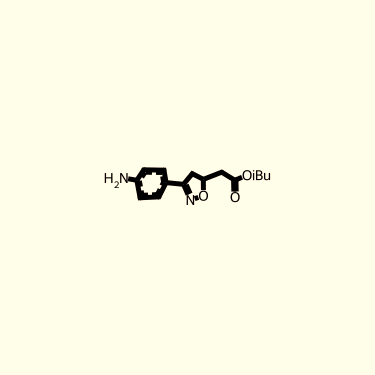 CC(C)COC(=O)CC1CC(c2ccc(N)cc2)=NO1